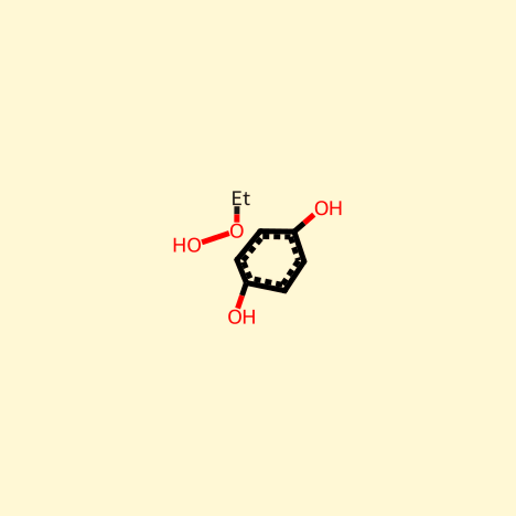 CCOO.Oc1ccc(O)cc1